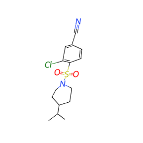 CC(C)C1CCN(S(=O)(=O)c2ccc(C#N)cc2Cl)CC1